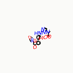 O=C(O)C1CN1c1ccnc(Nc2ccc(-c3cccc4c(=O)cc(N5CCOCC5)oc34)cc2)n1